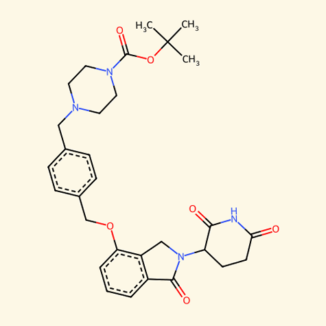 CC(C)(C)OC(=O)N1CCN(Cc2ccc(COc3cccc4c3CN(C3CCC(=O)NC3=O)C4=O)cc2)CC1